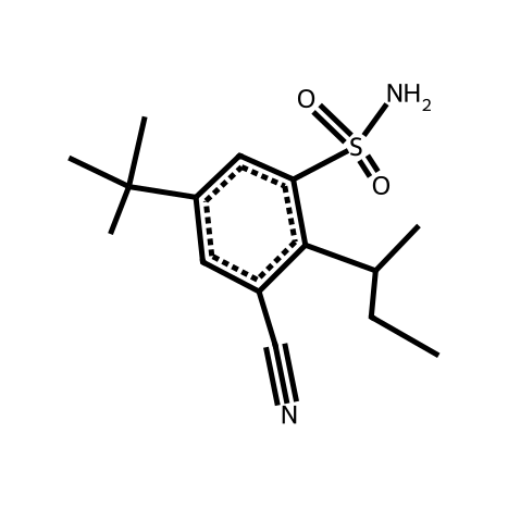 CCC(C)c1c(C#N)cc(C(C)(C)C)cc1S(N)(=O)=O